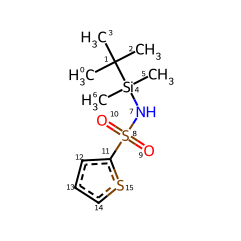 CC(C)(C)[Si](C)(C)NS(=O)(=O)c1cccs1